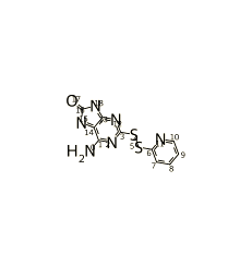 Nc1nc(SSc2ccccn2)nc2c1=NC(=O)N=2